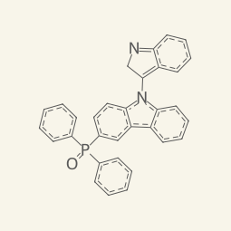 O=P(c1ccccc1)(c1ccccc1)c1ccc2c(c1)c1ccccc1n2C1=c2ccccc2=NC1